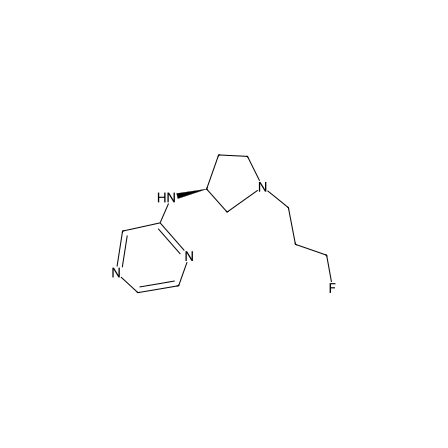 FCCCN1CC[C@H](Nc2cnccn2)C1